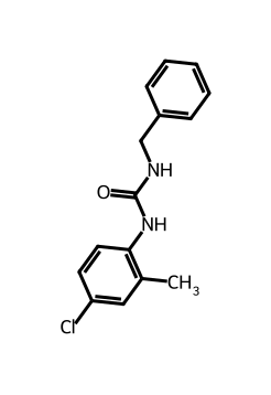 Cc1cc(Cl)ccc1NC(=O)NCc1ccccc1